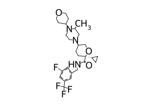 C[C@H]1CN([C@@H]2CC[C@@](C(=O)NCc3cc(F)cc(C(F)(F)F)c3)(C3CC3)OC2)CCN1C1CCOCC1